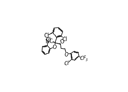 N#CC(Oc1ccccc1Cl)(C(=O)CCOc1ccc(C(F)(F)F)cc1Cl)c1c(Cl)cccc1Cl